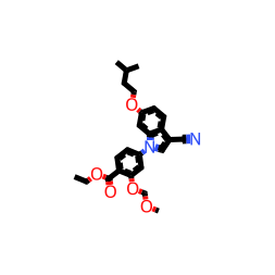 CCOC(=O)c1ccc(-n2cc(C#N)c3ccc(OCCC(C)C)cc32)cc1OCOC